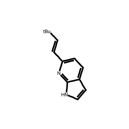 CC(C)(C)/C=C/c1ccc2cc[nH]c2n1